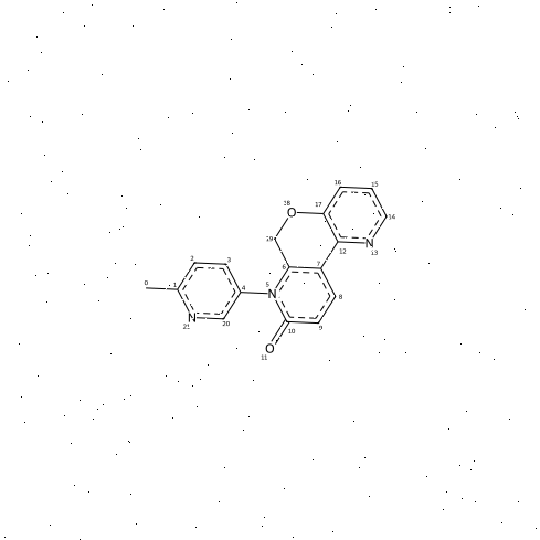 Cc1ccc(-n2c3c(ccc2=O)-c2ncccc2OC3)cn1